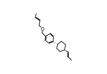 CC=CCOCc1ccc([C@H]2CC[C@H](C=CC)CC2)cc1